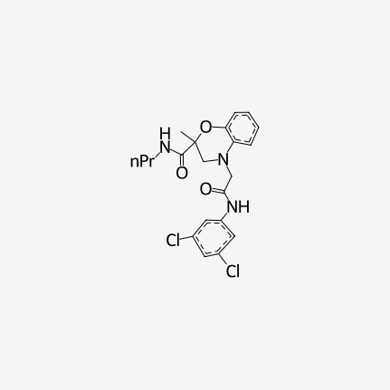 CCCNC(=O)C1(C)CN(CC(=O)Nc2cc(Cl)cc(Cl)c2)c2ccccc2O1